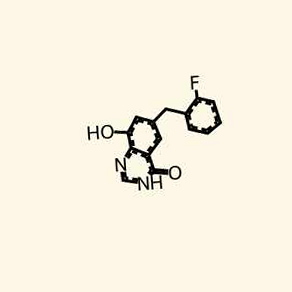 O=c1[nH]cnc2c(O)cc(Cc3ccccc3F)cc12